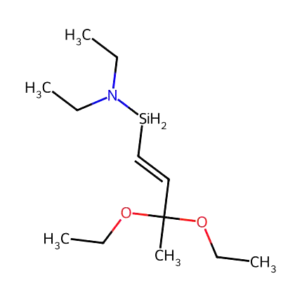 CCOC(C)(C=C[SiH2]N(CC)CC)OCC